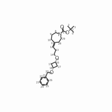 CC(C)(C)OC(=O)N1CCC/C(=C/CCO[C@H]2C[C@@H](OCc3ccccc3)C2)CC1